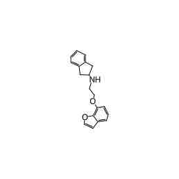 c1ccc2c(c1)CC(NCCOc1cccc3ccoc13)C2